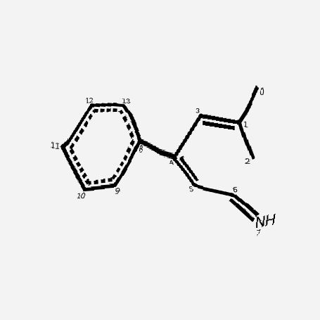 CC(C)=C/C(=C\C=N)c1ccccc1